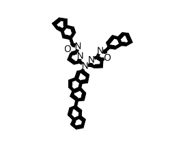 c1ccc2cc(-c3ccc4c(ccc5cc(N(c6ccc7oc(-c8ccc9ccccc9c8)nc7n6)c6ccc7oc(-c8ccc9ccccc9c8)nc7n6)ccc54)c3)ccc2c1